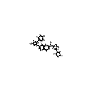 Cn1cc(-c2cnc3ccc(Nc4nnc(C5CCCC5)s4)nc3c2)c(-c2ccccc2)n1